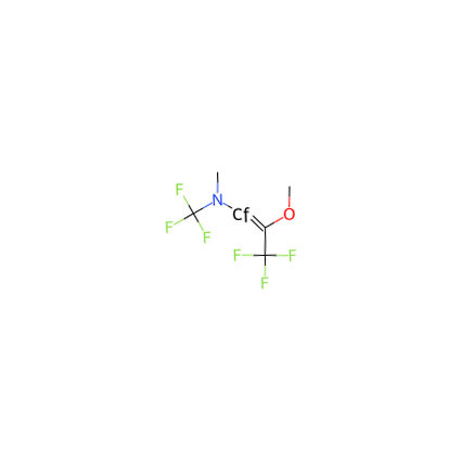 CO[C](=[Cf][N](C)C(F)(F)F)C(F)(F)F